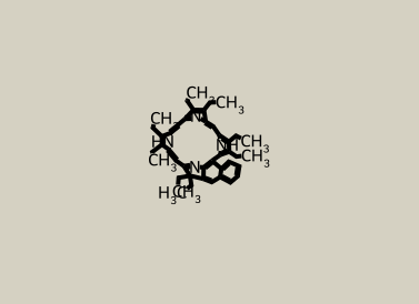 CCC1=C(CC)c2cc3[nH]c(c(CC)c3CC)c3c4nc(cc5[nH]c(cc1n2)c(CC)c5CC)C(CC)(CC)c4cc1ccccc13